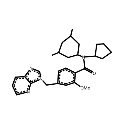 COc1cc(Cn2cnc3cccnc32)ccc1C(=O)N(C1CCCC1)C1CC(C)CC(C)C1